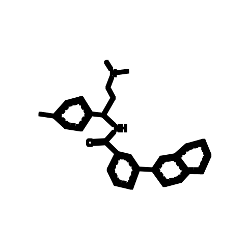 Cc1ccc(C(CCN(C)C)NC(=O)c2cccc(-c3ccc4ccccc4c3)c2)cc1